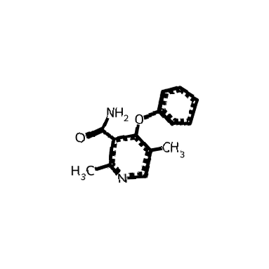 Cc1cnc(C)c(C(N)=O)c1Oc1ccccc1